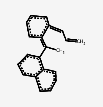 C=C/C=c1/cccc/c1=C(/C)c1cccc2ccccc12